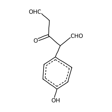 O=CCC(=O)C(C=O)c1ccc(O)cc1